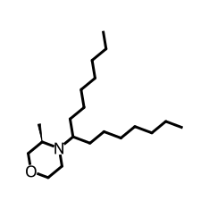 CCCCCCCC(CCCCCCC)N1CCOC[C@H]1C